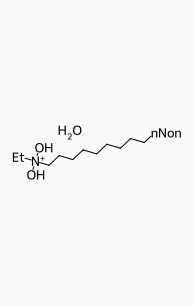 CCCCCCCCCCCCCCCCCC[N+](O)(O)CC.O